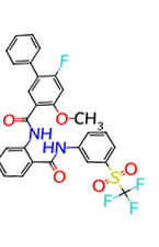 COc1cc(F)c(-c2ccccc2)cc1C(=O)Nc1ccccc1C(=O)Nc1cccc(S(=O)(=O)C(F)(F)F)c1